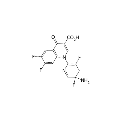 NC1(F)C=NC(n2cc(C(=O)O)c(=O)c3cc(F)c(F)cc32)=C(F)C1